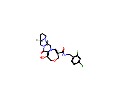 O=C(NCc1ccc(F)cc1F)/C1=C/N2C[C@@H]3N(C[C@H]4CCCN43)C(=O)/C2=C(\O)COC1